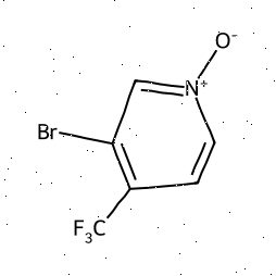 [O-][n+]1ccc(C(F)(F)F)c(Br)c1